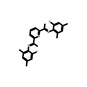 C/C(=N\c1c(C)cc(C)cc1F)c1cccc(/C(C)=N/c2c(C)cc(C)cc2F)n1